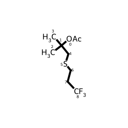 CC(=O)OC(C)(C)CSCCC(F)(F)F